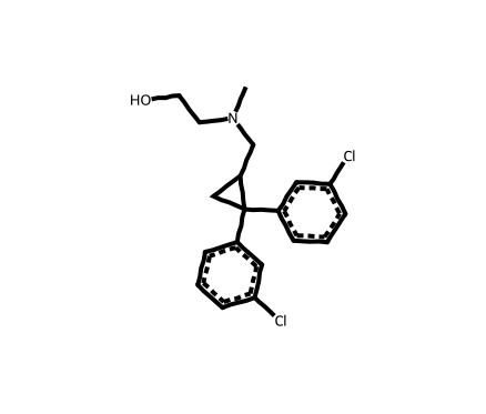 CN(CCO)CC1CC1(c1cccc(Cl)c1)c1cccc(Cl)c1